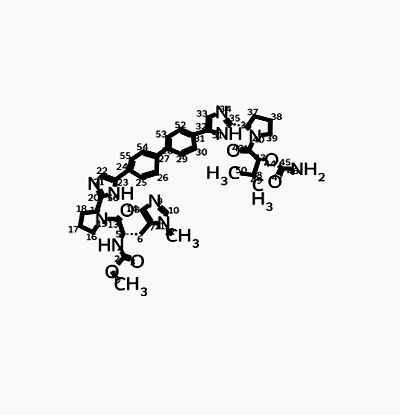 COC(=O)N[C@@H](Cc1cncn1C)C(=O)N1CCCC1c1ncc(-c2ccc(-c3ccc(-c4cnc([C@@H]5CCCN5C(=O)[C@@H](OC(N)=O)C(C)C)[nH]4)cc3)cc2)[nH]1